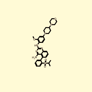 COc1cc(N2CCC(N3CCOCC3)CC2)ccc1Nc1nc(N)c2c(-c3ccccc3S(=O)(=O)C(C)C)cccc2n1